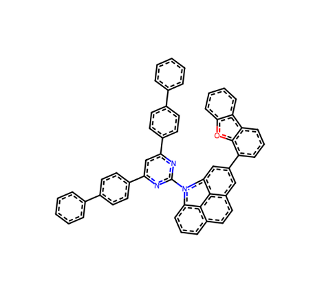 c1ccc(-c2ccc(-c3cc(-c4ccc(-c5ccccc5)cc4)nc(-n4c5cccc6ccc7cc(-c8cccc9c8oc8ccccc89)cc4c7c65)n3)cc2)cc1